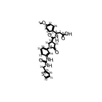 COc1ccc(C(CC(=O)O)NC(=O)C2CC(=O)N(c3cccc(NC(=O)NCc4cccs4)c3)C2)cc1